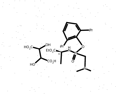 CCOC(=O)[C@H](C)NP(=O)(CN(C)C)Oc1c(C(C)C)cccc1C(C)C.O=C(O)C(O)C(O)C(=O)O